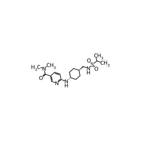 CC(C)S(=O)(=O)NC[C@H]1CC[C@H](Nc2ccc(C(=O)N(C)C)cn2)CC1